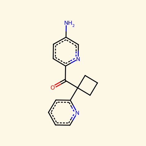 Nc1ccc(C(=O)C2(c3ccccn3)CCC2)nc1